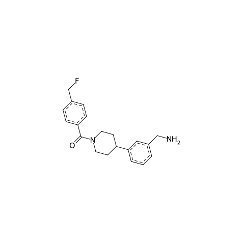 NCc1cccc(C2CCN(C(=O)c3ccc(CF)cc3)CC2)c1